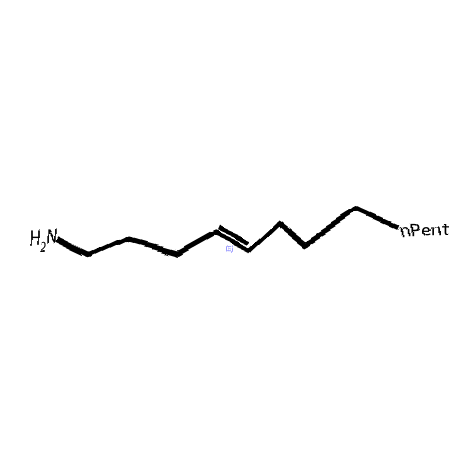 CCCCCCCC/C=C/CCCN